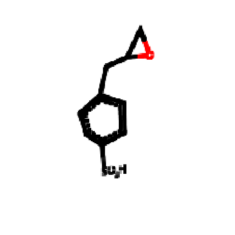 O=S(=O)(O)c1ccc(CC2CO2)cc1